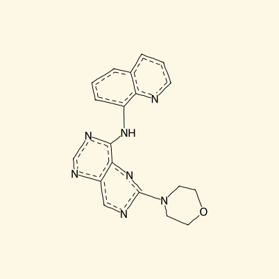 c1cnc2c(Nc3ncnc4cnc(N5CCOCC5)nc34)cccc2c1